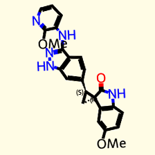 COc1ccc2c(c1)[C@]1(C[C@H]1c1ccc3c(Nc4cccnc4OC)n[nH]c3c1)C(=O)N2